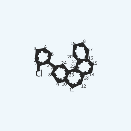 Clc1ccccc1-c1ccc2ccc3ccc4ccccc4c3c2c1